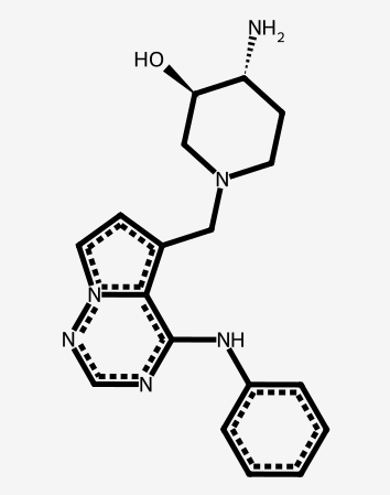 N[C@@H]1CCN(Cc2ccn3ncnc(Nc4ccccc4)c23)C[C@H]1O